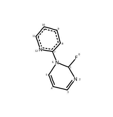 FC1N=CC=CN1c1ccccn1